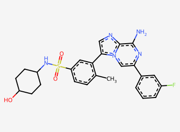 Cc1ccc(S(=O)(=O)NC2CCC(O)CC2)cc1-c1cnc2c(N)nc(-c3cccc(F)c3)cn12